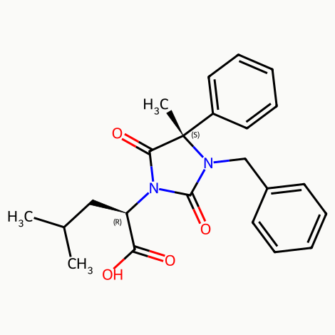 CC(C)C[C@H](C(=O)O)N1C(=O)N(Cc2ccccc2)[C@@](C)(c2ccccc2)C1=O